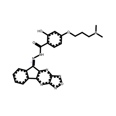 CN(C)CCCOc1ccc(C(=O)N/N=C2/c3ccccc3-c3nc4nonc4nc32)c(O)c1